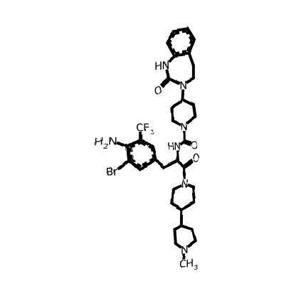 CN1CCC(C2CCN(C(=O)C(Cc3cc(Br)c(N)c(C(F)(F)F)c3)NC(=O)N3CCC(N4CCc5ccccc5NC4=O)CC3)CC2)CC1